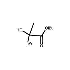 CCCC(C)(O)C(=O)OCC(C)C